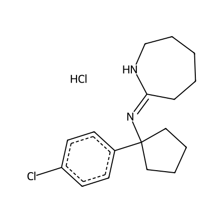 Cl.Clc1ccc(C2(N=C3CCCCCN3)CCCC2)cc1